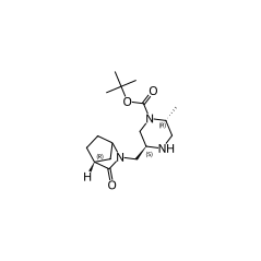 C[C@@H]1CN[C@@H](CN2C(=O)[C@@H]3CCC2C3)CN1C(=O)OC(C)(C)C